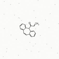 C=CC(=O)C1c2ccccc2C=Cc2ccccc21